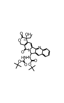 CC[C@@]1(O)C(=O)OCc2c1cc1n(c2=O)C(N(NC(=O)OC(C)(C)C)C(=O)OC(C)(C)C)c2cc3ccccc3nc2-1